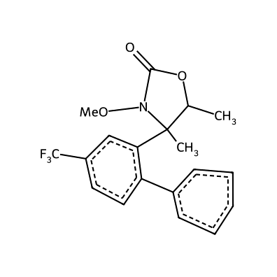 CON1C(=O)OC(C)C1(C)c1cc(C(F)(F)F)ccc1-c1ccccc1